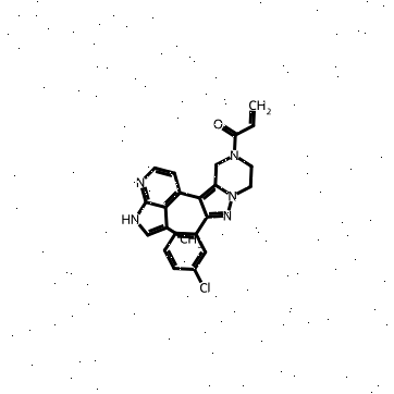 C=CC(=O)N1CCn2nc(-c3cccc(Cl)c3)c(-c3ccnc4[nH]cc(C)c34)c2C1